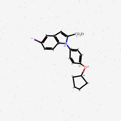 CCOC(=O)c1cc2cc(I)ccc2n1-c1ccc(OC2CCCC2)cc1